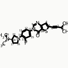 CC(O)C#Cc1cc2ncn(-c3ccc(N4CC[C@@H](N(C)C)C4)c(F)c3)c(=O)c2s1